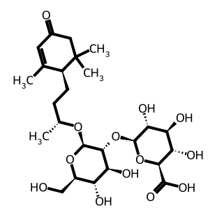 CC1=CC(=O)CC(C)(C)[C@H]1CC[C@@H](C)O[C@@H]1O[C@H](CO)[C@@H](O)[C@H](O)[C@H]1O[C@@H]1O[C@H](C(=O)O)[C@@H](O)[C@H](O)[C@H]1O